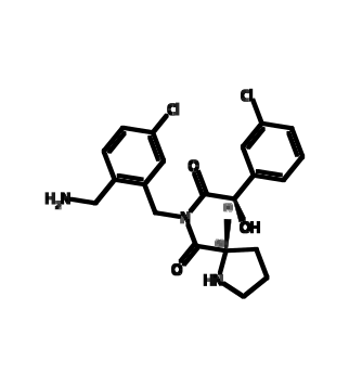 C[C@@]1(C(=O)N(Cc2cc(Cl)ccc2CN)C(=O)[C@H](O)c2cccc(Cl)c2)CCCN1